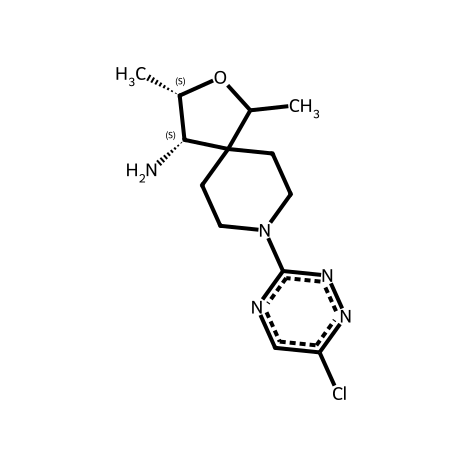 CC1O[C@@H](C)[C@@H](N)C12CCN(c1ncc(Cl)nn1)CC2